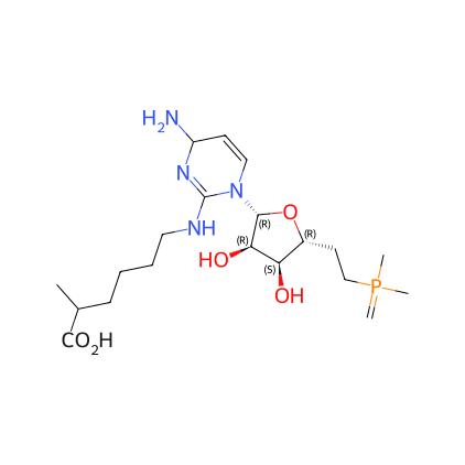 C=P(C)(C)CC[C@H]1O[C@@H](N2C=CC(N)N=C2NCCCCC(C)C(=O)O)[C@H](O)[C@@H]1O